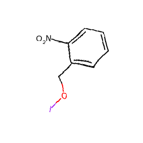 O=[N+]([O-])c1ccccc1COI